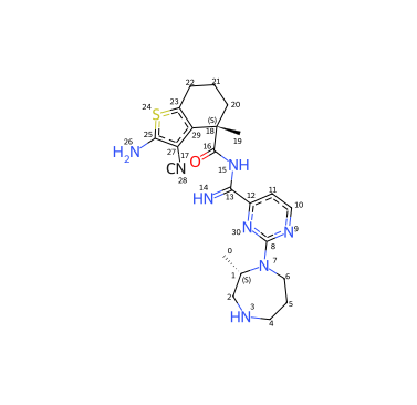 C[C@H]1CNCCCN1c1nccc(C(=N)NC(=O)[C@@]2(C)CCCc3sc(N)c(C#N)c32)n1